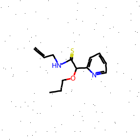 C=CCNC(=S)C(OCCC)c1ccccn1